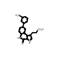 Nc1cccc(-c2ccc3[nH]c(=O)c4[nH]cc(CCC(=O)O)c4c3c2)c1